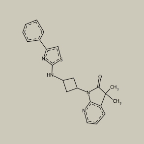 CC1(C)C(=O)N(C2CC(Nc3nc(-c4ccccc4)cs3)C2)c2ncccc21